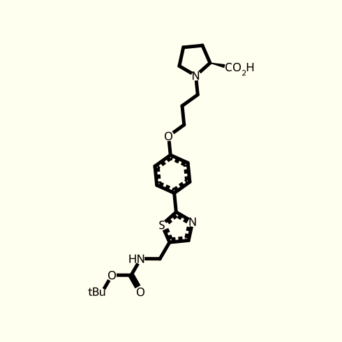 CC(C)(C)OC(=O)NCc1cnc(-c2ccc(OCCCN3CCC[C@H]3C(=O)O)cc2)s1